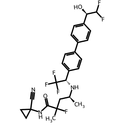 C[C@@H](CC(C)(F)C(=O)NC1(C#N)CC1)N[C@@H](c1ccc(-c2ccc([C@@H](O)C(F)F)cc2)cc1)C(F)(F)F